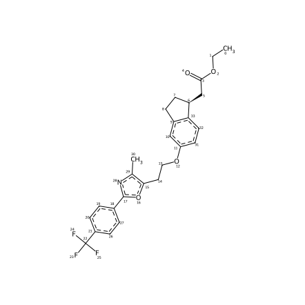 CCOC(=O)C[C@@H]1CCc2cc(OCCc3oc(-c4ccc(C(F)(F)F)cc4)nc3C)ccc21